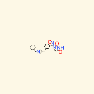 O=c1ccn(-c2noc3ccc(CC4CN(CC5CCCCC5)C4)cc23)c(=O)[nH]1